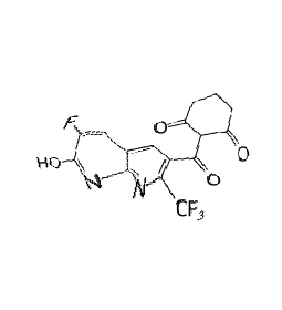 O=C1CCCC(=O)C1C(=O)c1cc2cc(F)c(O)nc2nc1C(F)(F)F